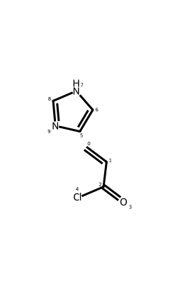 C=CC(=O)Cl.c1c[nH]cn1